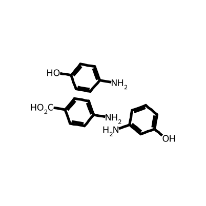 Nc1ccc(C(=O)O)cc1.Nc1ccc(O)cc1.Nc1cccc(O)c1